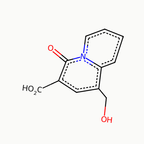 O=C(O)c1cc(CO)c2ccccn2c1=O